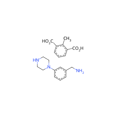 Cc1c(C(=O)O)cccc1C(=O)O.NCc1cccc(N2CCNCC2)c1